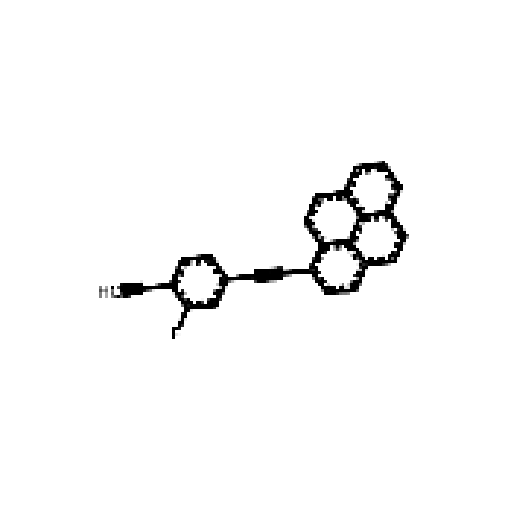 C#Cc1ccc(C#Cc2ccc3ccc4cccc5ccc2c3c45)cc1F